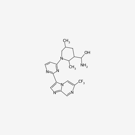 CC1CC(C(N)O)C(C)N(c2ccnc(-c3cnc4cnc(C(F)(F)F)cn34)n2)C1